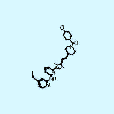 O=C1CCC(C(=O)N2CCC(CCc3ncc(-c4cccc(Nc5cc(CI)ccn5)n4)s3)CC2)CC1